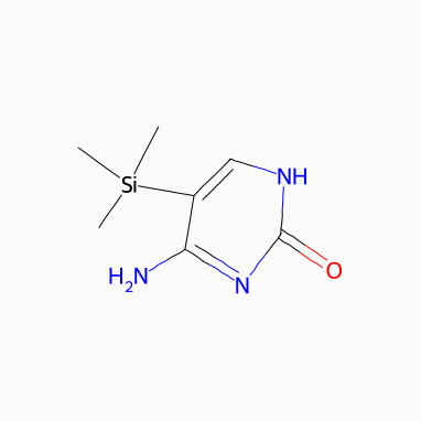 C[Si](C)(C)c1c[nH]c(=O)nc1N